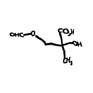 CC(O)(COC=O)C(=O)O